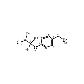 FC(Cl)C(F)(F)Oc1ccc(CBr)cc1